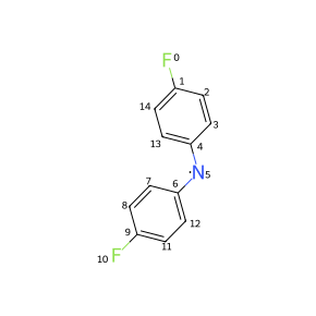 Fc1ccc([N]c2ccc(F)cc2)cc1